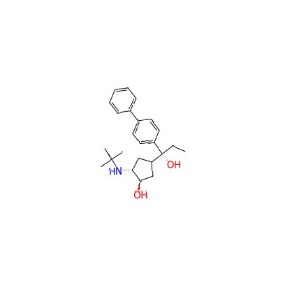 CC[C@](O)(c1ccc(-c2ccccc2)cc1)C1C[C@@H](O)[C@H](NC(C)(C)C)C1